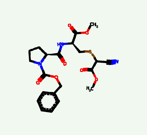 COC(=O)C(C#N)SC[C@@H](NC(=O)[C@@H]1CCCN1C(=O)OCc1ccccc1)C(=O)OC